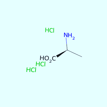 C[C@H](N)C(=O)O.Cl.Cl.Cl